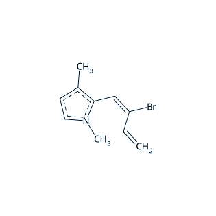 C=C/C(Br)=C\c1c(C)ccn1C